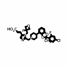 CC1(c2ccc(Cl)cc2F)Oc2cccc(C3CCN(Cc4ncc(/C=C/C(=O)O)n4CC4(F)COC4)CC3)c2O1